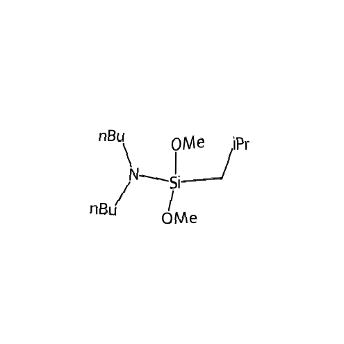 CCCCN(CCCC)[Si](CC(C)C)(OC)OC